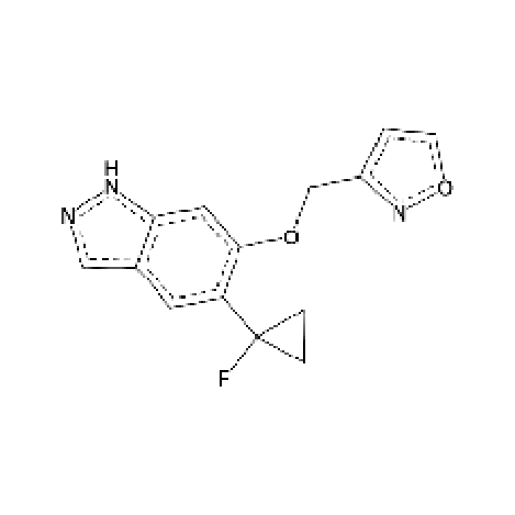 FC1(c2cc3cn[nH]c3cc2OCc2ccon2)CC1